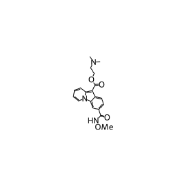 CONC(=O)c1ccc2c(C(=O)OCCN(C)C)c3ccccn3c2c1